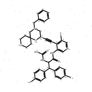 O=C(O)NC(C(=O)Nc1cncc(F)c1C#C[C@@H]1CN(Cc2ccccc2)CC2(CCOCC2)O1)C(c1ccc(F)cc1)c1ccc(F)cc1